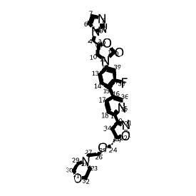 O=C1O[C@H](Cn2ccnn2)CN1c1ccc(-c2ccc(C3=NO[C@H](COCCN4CCOCC4)C3)nc2)c(F)c1